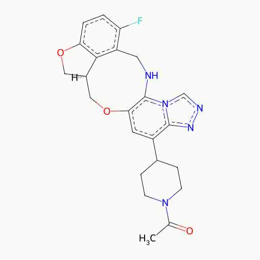 CC(=O)N1CCC(c2cc3c(n4cnnc24)NCc2c(F)ccc4c2[C@H](CO4)CO3)CC1